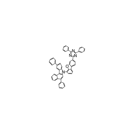 c1ccc(-c2ccc3c(c2)c2c4ccccc4c(-c4ccccc4)cc2n3-c2cccc3c2oc2cc(-c4nc(-c5ccccc5)nc(-c5ccccc5)n4)ccc23)cc1